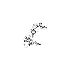 CCCCOc1nc(N)c2[nH]c(=O)n(CCN3CCN(c4cc(C(=O)OC)ccn4)CC3)c2n1